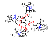 CON1C(C)(C)CC(COC(=O)CC(C(=O)OCC2CC(C)(C)NC2(C)C)C(CC(=O)OC2CC(C)(C)N(OC)C2(C)C)C(=O)OCC2CC(C)(C)NC2(C)C)C1(C)C